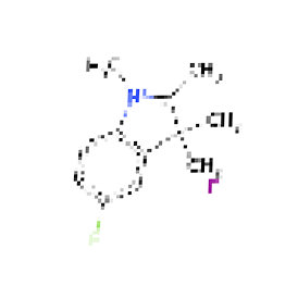 CC1=[N+](C)c2ccc(F)cc2C1(C)C.[I-]